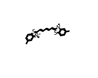 Cc1ccc2c(c1)N(C)/C(=C/C=C/C=C/c1sc3ccc(C)cc3[n+]1C)S2